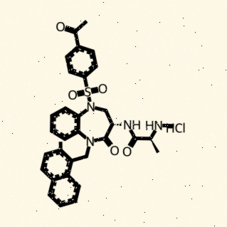 CN[C@@H](C)C(=O)N[C@H]1CN(S(=O)(=O)c2ccc(C(C)=O)cc2)c2ccccc2N(Cc2c(C)ccc3ccccc23)C1=O.Cl